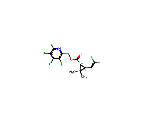 CC1(C)[C@H](C=C(F)F)[C@H]1C(=O)OCc1nc(F)c(F)c(F)c1F